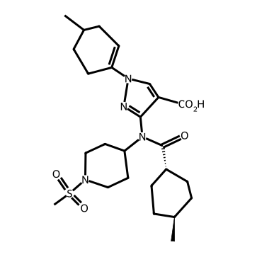 CC1CC=C(n2cc(C(=O)O)c(N(C(=O)[C@H]3CC[C@H](C)CC3)C3CCN(S(C)(=O)=O)CC3)n2)CC1